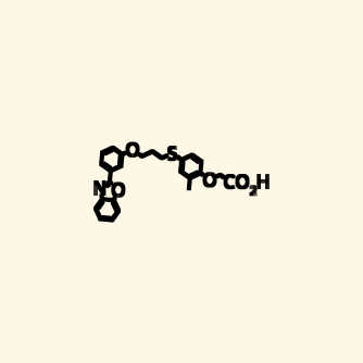 Cc1cc(SCCCOc2cccc(-c3nc4ccccc4o3)c2)ccc1OCC(=O)O